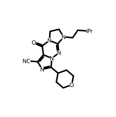 CC(C)CCN1CCn2c1nn1c(C3CCOCC3)nc(C#N)c1c2=O